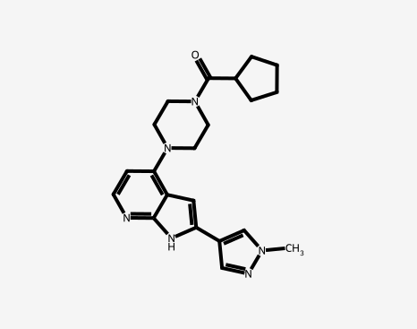 Cn1cc(-c2cc3c(N4CCN(C(=O)C5CCCC5)CC4)ccnc3[nH]2)cn1